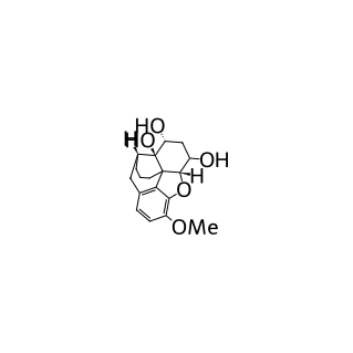 COc1ccc2c3c1O[C@H]1C(O)C[C@@H](O)[C@@]4(O)[C@H](CCCC314)C2